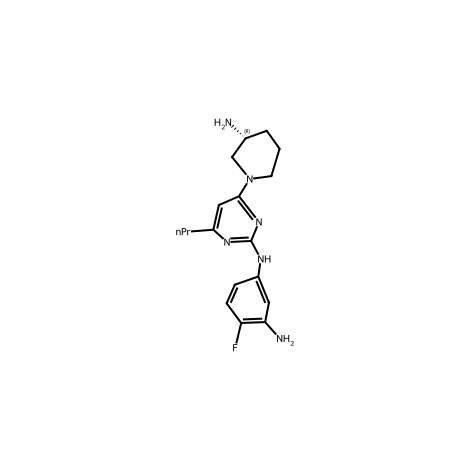 CCCc1cc(N2CCC[C@@H](N)C2)nc(Nc2ccc(F)c(N)c2)n1